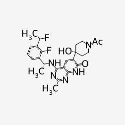 CC(=O)N1CCC(O)(c2cc3c(N[C@H](C)c4cccc(C(C)F)c4F)nc(C)nc3[nH]c2=O)CC1